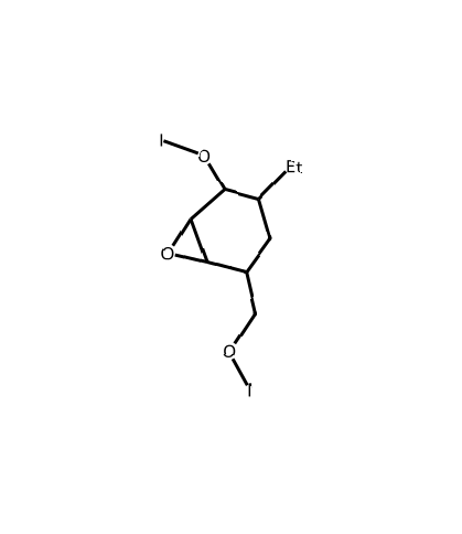 CCC1CC(COI)C2OC2C1OI